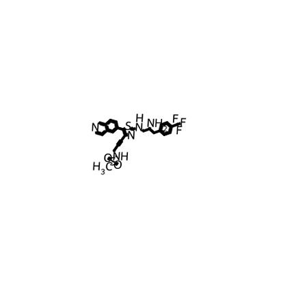 CS(=O)(=O)NCC#Cc1nc(NCC(N)Cc2ccc(C(F)(F)F)cc2)sc1-c1ccc2cnccc2c1